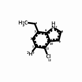 [2H]c1cc(CC)c2[nH]ccc2c1Cl